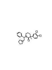 CC1(c2ccc(Cl)c(Cl)c2)CCCN(C(CN2CCCC2)c2ccccc2)C1=O